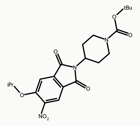 CC(C)Oc1cc2c(cc1[N+](=O)[O-])C(=O)N(C1CCN(C(=O)OC(C)(C)C)CC1)C2=O